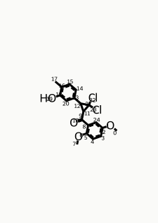 COc1ccc(OC)c(C(=O)C2C(c3ccc(C)c(O)c3)C2(Cl)Cl)c1